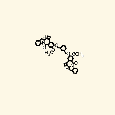 COc1cc2c(cc1OCc1cccc(COc3cc4c(cc3OC)C(=O)N3c5ccccc5C[C@H]3C3=C4CC3)c1)C1=C(CC1)[C@@H]1Cc3ccccc3N1C2=O